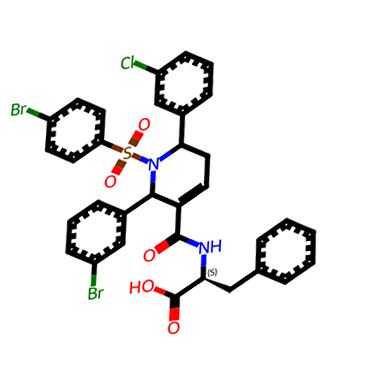 O=C(N[C@@H](Cc1ccccc1)C(=O)O)C1=CCC(c2cccc(Cl)c2)N(S(=O)(=O)c2ccc(Br)cc2)C1c1cccc(Br)c1